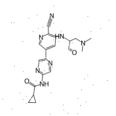 CN(C)CC(C=O)Nc1cc(-c2cnc(NC(=O)C3CC3)cn2)cnc1C#N